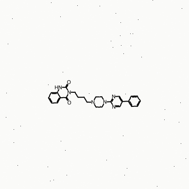 O=c1[nH]c2ccccc2c(=O)n1CCCCN1CCN(c2ncc(-c3ccccc3)cn2)CC1